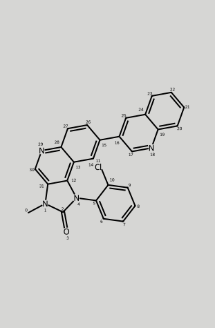 Cn1c(=O)n(-c2ccccc2Cl)c2c3cc(-c4cnc5ccccc5c4)ccc3ncc21